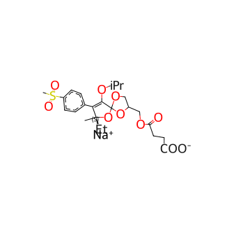 CC[C@]1(C)OC2(OCC(COC(=O)CCC(=O)[O-])O2)C(OC(C)C)=C1c1ccc(S(C)(=O)=O)cc1.[Na+]